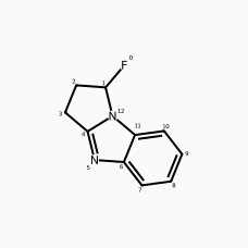 FC1CCc2nc3ccccc3n21